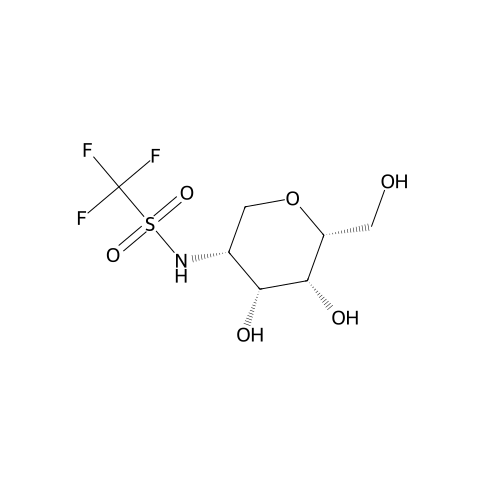 O=S(=O)(N[C@@H]1CO[C@H](CO)[C@H](O)[C@@H]1O)C(F)(F)F